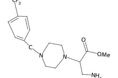 COC(=O)C(CN)N1CCN(Cc2ccc(C(F)(F)F)cc2)CC1